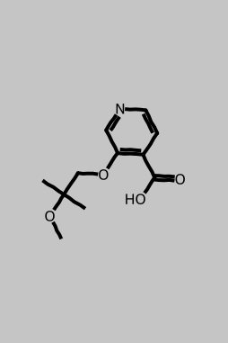 COC(C)(C)COc1cnccc1C(=O)O